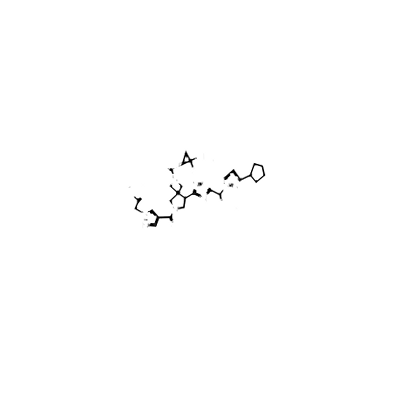 CC(c1nc(C2CN(C(=O)c3cnn(CC(=O)OC(C)(C)C)c3)CC23CN(C(=O)[C@H]2CC2(C)C)C3)no1)n1ccc(C2CCCC2)n1